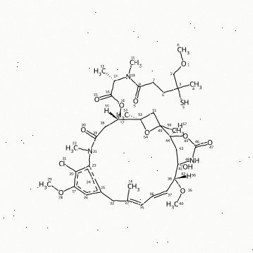 COCC(C)(S)CCC(=O)N(C)[C@@H](C)C(=O)O[C@H]1CC(=O)N(C)c2cc(cc(OC)c2Cl)C/C(C)=C/C=C/[C@@H](OC)[C@@]2(O)C[C@H](OC(=O)N2)C2(C)C[C@@]1(C)O2